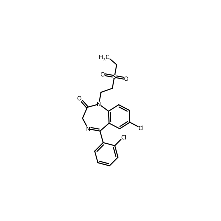 CCS(=O)(=O)CCN1C(=O)CN=C(c2ccccc2Cl)c2cc(Cl)ccc21